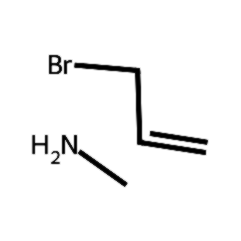 C=CCBr.CN